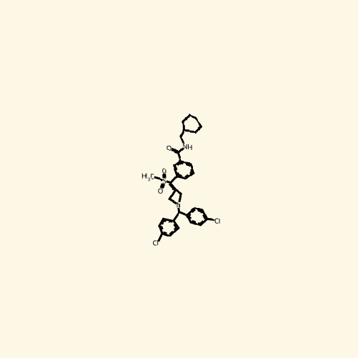 CS(=O)(=O)C(=C1CN(C(c2ccc(Cl)cc2)c2ccc(Cl)cc2)C1)c1cccc(C(=O)NCC2CCCCC2)c1